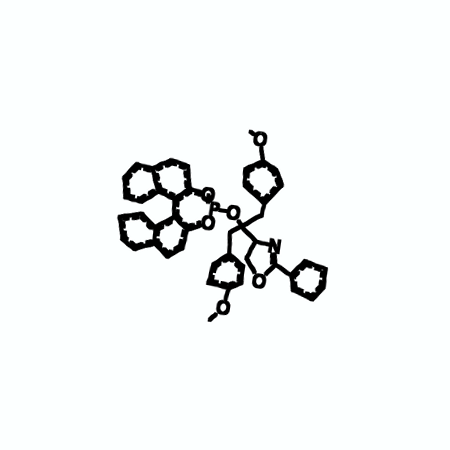 COc1ccc(CC(Cc2ccc(OC)cc2)(Op2oc3ccc4ccccc4c3c3c(ccc4ccccc43)o2)C2COC(c3ccccc3)=N2)cc1